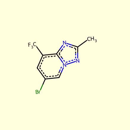 Cc1nc2c(C(F)(F)F)cc(Br)cn2n1